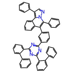 c1ccc(-c2ccccc2-c2nc(-c3cccc(-c4c(-c5ccccc5)n5ncc(-c6ccccc6)c5c5ccccc45)c3)nc(-c3ccccc3-c3ccccc3)n2)cc1